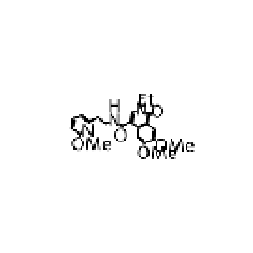 CCn1cc(C(=O)NCCc2cccc(OC)n2)c2cc(OC)c(OC)cc2c1=O